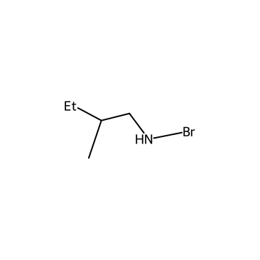 CCC(C)CNBr